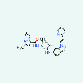 CCn1nc(C)cc1C(=O)Nc1cc(Nc2ccc3cnn(C=Cc4ccccn4)c3c2)c(F)cc1C